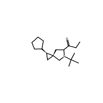 CCC(=O)C1C[C@]2(C[C@H]2C2CCCC2)CN1C(C)(C)C